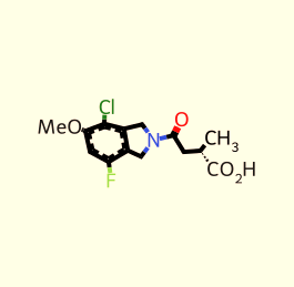 COc1cc(F)c2c(c1Cl)CN(C(=O)C[C@H](C)C(=O)O)C2